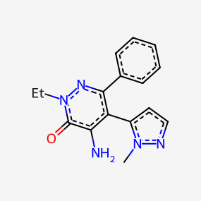 CCn1nc(-c2ccccc2)c(-c2ccnn2C)c(N)c1=O